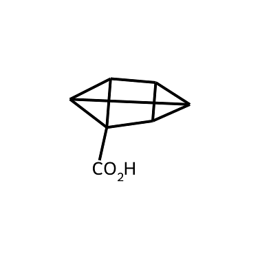 O=C(O)C12C3C4C3C1C42